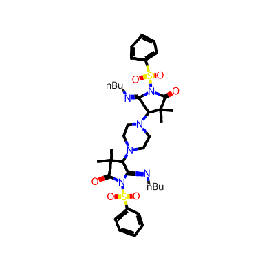 CCCC/N=C1/C(N2CCN(C3/C(=N/CCCC)N(S(=O)(=O)c4ccccc4)C(=O)C3(C)C)CC2)C(C)(C)C(=O)N1S(=O)(=O)c1ccccc1